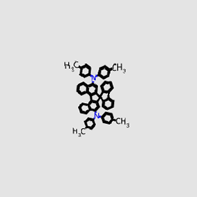 Cc1ccc(N(c2ccc(C)cc2)c2cc3c(c4ccccc24)-c2c(cc(N(c4ccc(C)cc4)c4ccc(C)cc4)c4ccccc24)C32c3ccccc3-c3ccccc32)cc1